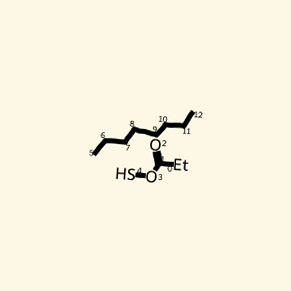 CCC(=O)OS.CCCCCCCC